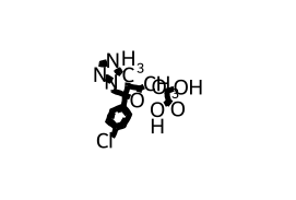 CC1OC(Cn2cncn2)(c2ccc(Cl)cc2)C1C.O=C(O)C(=O)O